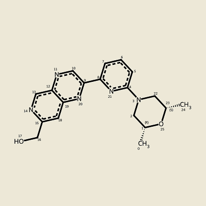 C[C@@H]1CN(c2cccc(-c3cnc4cnc(CO)cc4n3)n2)C[C@H](C)O1